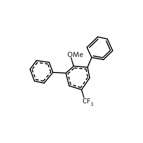 COc1c(C2=C=C=CC=C2)cc(C(F)(F)F)cc1-c1ccccc1